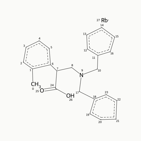 Cc1ccccc1C(CN(Cc1ccccc1)Cc1ccccc1)C(=O)O.[Rb]